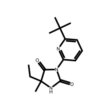 CCC1(C)NC(=O)N(c2cccc(C(C)(C)C)n2)C1=O